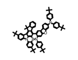 CC(C)(C)c1ccc(N2B3c4cc(C(C)(C)C)ccc4-n4c5ccc(C(C)(C)C)cc5c5c6c(c(c3c54)-c3cc4c(cc32)oc2cc(N(c3ccc(C(C)(C)C)cc3)c3ccc(C(C)(C)C)cc3)ccc24)-c2ccccc2C6(C)C)cc1